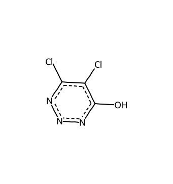 Oc1nnnc(Cl)c1Cl